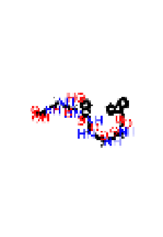 C[C@H](NCCC(=O)[C@H](C)NCC(=O)OCC1c2ccccc2-c2ccccc21)C(=O)CCN[C@@H](C)C(=O)CN[C@@H](Cc1ccc(O)cc1)C(=O)CN[C@@H](C)C(=O)CCN[C@@H](C)C(=O)CNCC(=O)C(=O)O